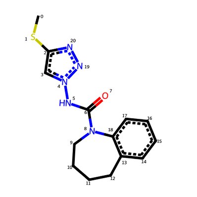 CSc1cn(NC(=O)N2CCCCc3ccccc32)nn1